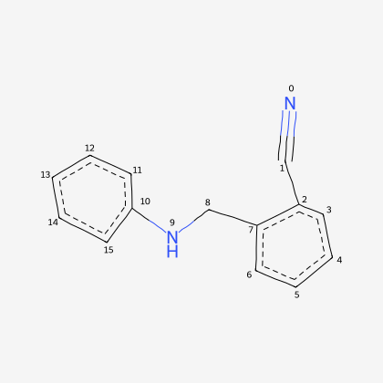 N#Cc1ccccc1CNc1ccccc1